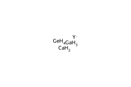 [CaH2].[GaH3].[GeH4].[Y]